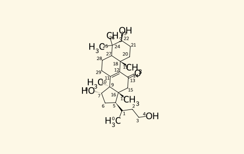 CC(CCO)[C@H]1C[C@H](O)[C@@]2(C)C3=C(C(=O)C[C@]12C)[C@@]1(C)CC[C@H](O)C(C)(C)C1CC3